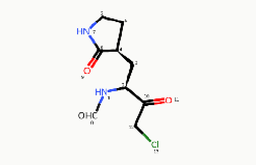 O=CN[C@@H](C[C@@H]1CCNC1=O)C(=O)CCl